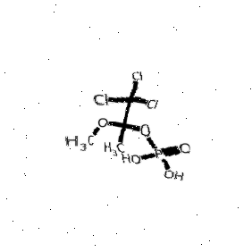 COC(C)(OP(=O)(O)O)C(Cl)(Cl)Cl